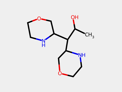 CC(O)C(C1COCCN1)C1COCCN1